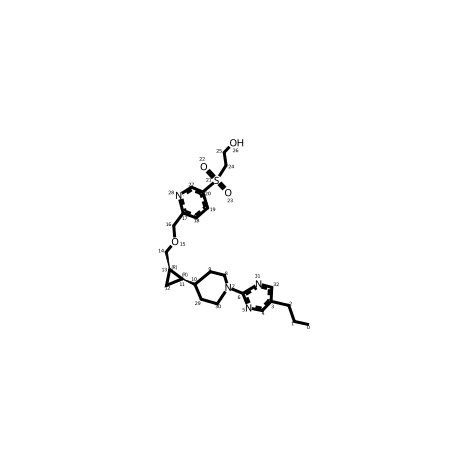 CCCc1cnc(N2CCC([C@H]3C[C@H]3COCc3ccc(S(=O)(=O)CCO)cn3)CC2)nc1